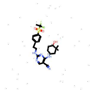 CC1(C)C[C@@H](Nc2nc(NCCc3ccc(S(=O)(=O)C(C)(F)F)cc3)ncc2C#N)CC[C@H]1O